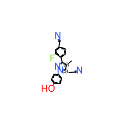 C[C@@H]1C(c2ccc(C#N)cc2F)=NN(c2ccc(O)cc2)[C@H]1CC#N